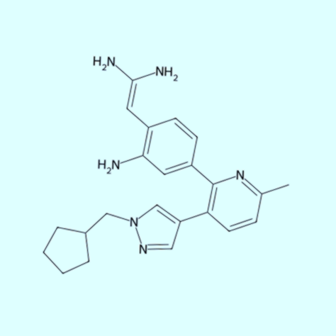 Cc1ccc(-c2cnn(CC3CCCC3)c2)c(-c2ccc(C=C(N)N)c(N)c2)n1